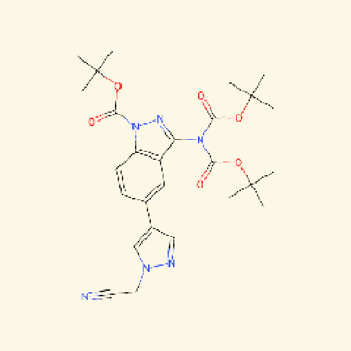 CC(C)(C)OC(=O)N(C(=O)OC(C)(C)C)c1nn(C(=O)OC(C)(C)C)c2ccc(-c3cnn(CC#N)c3)cc12